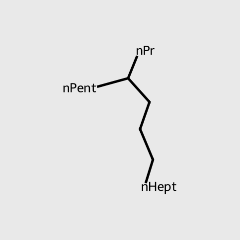 [CH2]CCC(CCCCC)CCCCCCCCCC